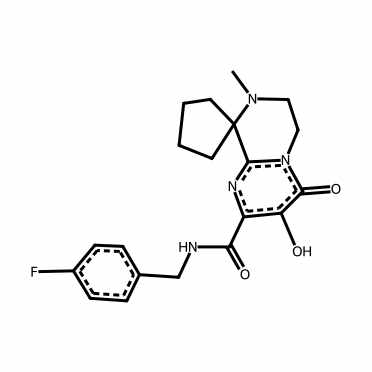 CN1CCn2c(nc(C(=O)NCc3ccc(F)cc3)c(O)c2=O)C12CCCC2